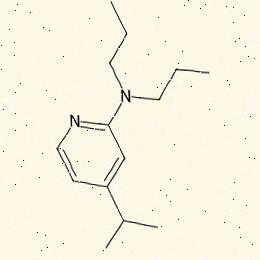 CCCN(CCC)c1cc(C(C)C)ccn1